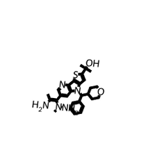 C/C(N)=C(\c1cnc2c3sc(C(C)(C)O)cc3n(C(c3ccccc3)C3CCOCC3)c2c1)N(C)N